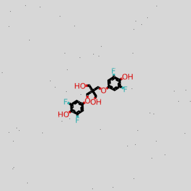 OCC(CO)(COc1cc(F)c(O)c(F)c1)COc1cc(F)c(O)c(F)c1